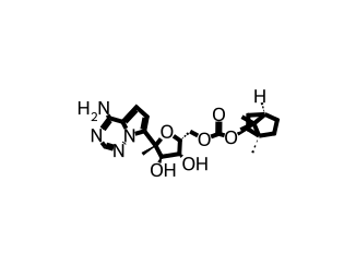 CC1(C)[C@@H]2CC[C@@]1(C)[C@@H](OC(=O)OC[C@H]1O[C@@](C)(c3ccc4c(N)ncnn34)[C@H](O)[C@@H]1O)C2